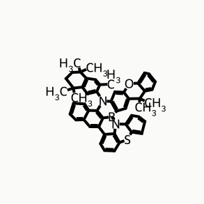 Cc1cc2c(cc1N1c3cc4c(cc3B3c5c(cc6ccccc6c51)-c1cccc5c1N3c1ccccc1S5)C(C)(C)c1ccccc1O4)C(C)(C)CCC2(C)C